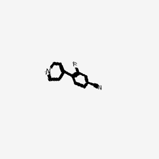 N#Cc1ccc(C2=CC[N]CC2)c(F)c1